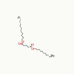 CC(C)CCCCCCCCCCOC(=O)CCCC(=O)OCCCCCCCCCCC(C)C